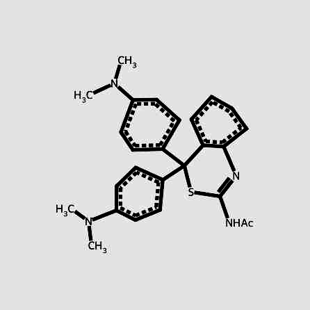 CC(=O)NC1=Nc2ccccc2C(c2ccc(N(C)C)cc2)(c2ccc(N(C)C)cc2)S1